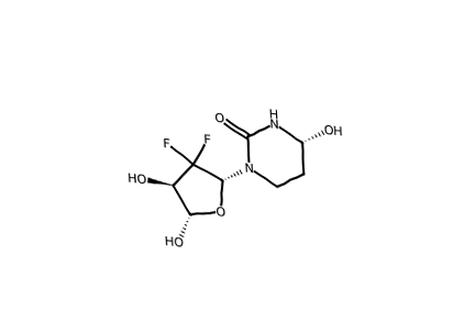 O=C1N[C@H](O)CCN1[C@@H]1O[C@H](O)[C@@H](O)C1(F)F